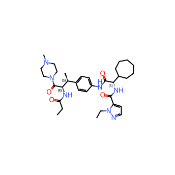 CCC(=O)N[C@@H](C(=O)N1CCN(C)CC1)[C@@H](C)c1ccc(NC(=O)[C@@H](NC(=O)c2ccnn2CC)C2CCCCCC2)cc1